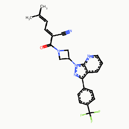 CC(C)=CC=C(C#N)C(=O)N1CC(n2nc(-c3ccc(C(F)(F)F)cc3)c3cccnc32)C1